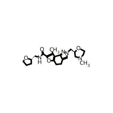 Cc1c(C(=O)NC[C@@H]2CCCO2)oc2c1-c1nn(C[C@@H]3CN(C)CCO3)cc1CC2